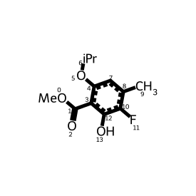 COC(=O)c1c(OC(C)C)cc(C)c(F)c1O